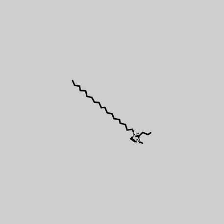 CCCCCCCCCCCCCCCCCCC[n+]1ccn(C)c1CCC